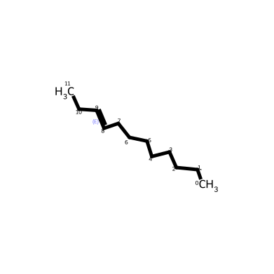 C[CH]CCCCCC/C=C/CC